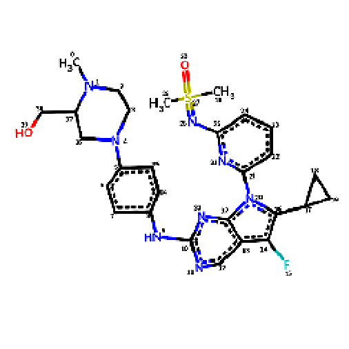 CN1CCN(c2ccc(Nc3ncc4c(F)c(C5CC5)n(-c5cccc(N=S(C)(C)=O)n5)c4n3)cc2)CC1CO